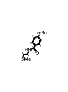 CCCCc1ccc(C(=O)NCCSC)cc1